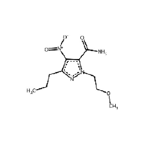 CCCc1nn(CCOC)c(C(N)=O)c1[N+](=O)[O-]